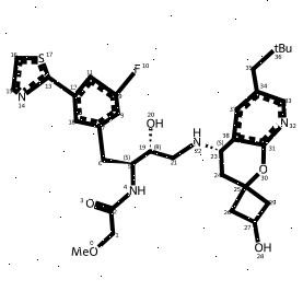 COCC(=O)N[C@@H](Cc1cc(F)cc(-c2nccs2)c1)[C@H](O)CN[C@H]1CC2(CC(O)C2)Oc2ncc(CC(C)(C)C)cc21